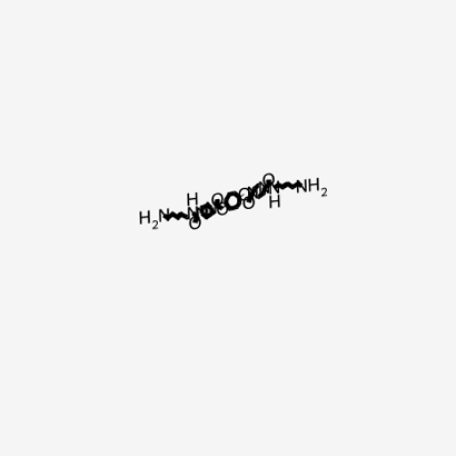 NCCC=CCNC(=O)N1CCN(C(=O)O[C@H]2CCC[C@@H](OC(=O)N3CCN(C(=O)NCC=CCCN)CC3)CCC2)CC1